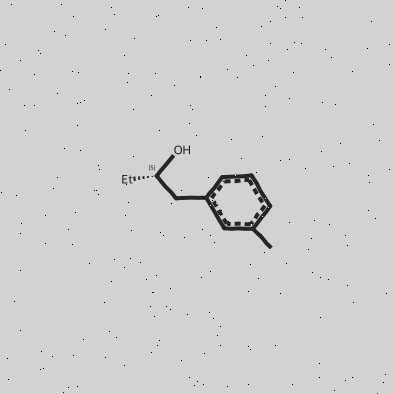 CC[C@H](O)Cc1cccc(C)c1